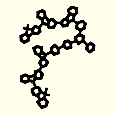 CC1(C)c2ccccc2-c2ccc(-n3c4ccccc4c4cc(-c5ccc6c(c5)c5ccccc5n6-c5ccc(-c6ccc(-c7nc(-c8ccccc8)nc(-c8cccc(-n9c%10ccccc%10c%10cc(-c%11ccc%12c(c%11)c%11ccccc%11n%12-c%11ccc%12c(c%11)C(C)(C)c%11ccccc%11-%12)ccc%109)c8)n7)cc6)cc5)ccc43)cc21